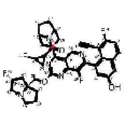 C#Cc1c(F)ccc2cc(O)cc(-c3ncc4c(N5CC6CCC(C5)N6C(=O)C5CC5F)nc(OC[C@@]56CCCN5C[C@H](F)C6)nc4c3F)c12